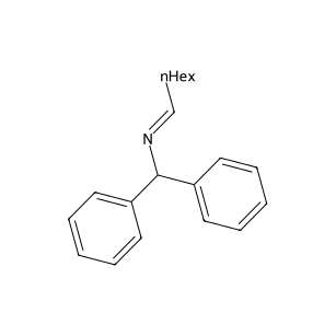 CCCCCCC=NC(c1ccccc1)c1ccccc1